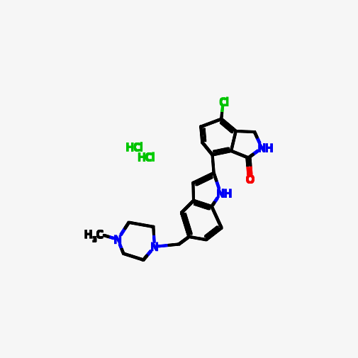 CN1CCN(Cc2ccc3[nH]c(-c4ccc(Cl)c5c4C(=O)NC5)cc3c2)CC1.Cl.Cl